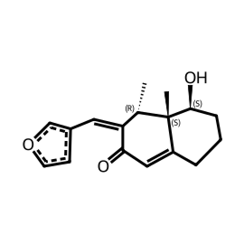 C[C@H]1C(=Cc2ccoc2)C(=O)C=C2CCC[C@H](O)[C@]21C